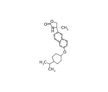 CC(C)C1CCC(Oc2ccc3cc([C@]4(C)COC(=O)N4)ccc3c2)CC1